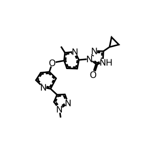 Cc1nc(-n2nc(C3CC3)[nH]c2=O)ccc1Oc1ccnc(-c2cnn(C)c2)c1